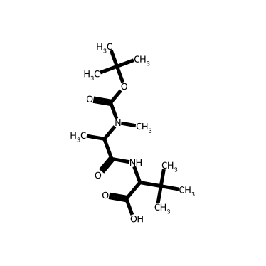 CC(C(=O)NC(C(=O)O)C(C)(C)C)N(C)C(=O)OC(C)(C)C